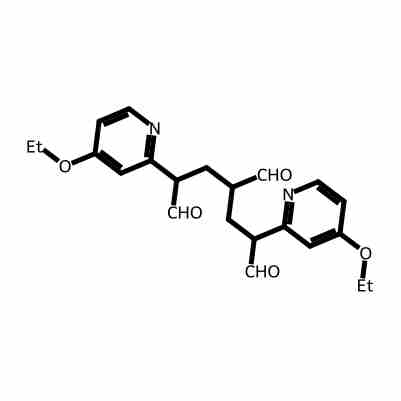 CCOc1ccnc(C(C=O)CC(C=O)CC(C=O)c2cc(OCC)ccn2)c1